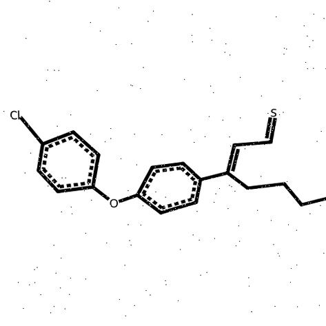 CCCCC(=CC=S)c1ccc(Oc2ccc(Cl)cc2)cc1